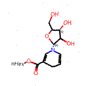 CCCCCCOC(=O)C1=CN([C@@H]2OC(CO)[C@@H](O)C2O)C=CC1